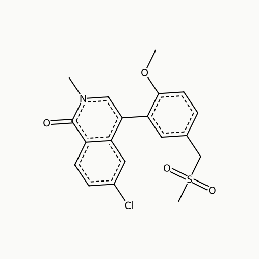 COc1ccc(CS(C)(=O)=O)cc1-c1cn(C)c(=O)c2ccc(Cl)cc12